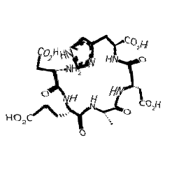 C[C@H](NC(=O)[C@H](CCC(=O)O)NC(=O)[C@@H](N)CC(=O)O)C(=O)N[C@@H](CC(=O)O)C(=O)N[C@@H](Cc1c[nH]cn1)C(=O)O